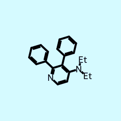 CCN(CC)c1ccnc(-c2ccccc2)c1-c1ccccc1